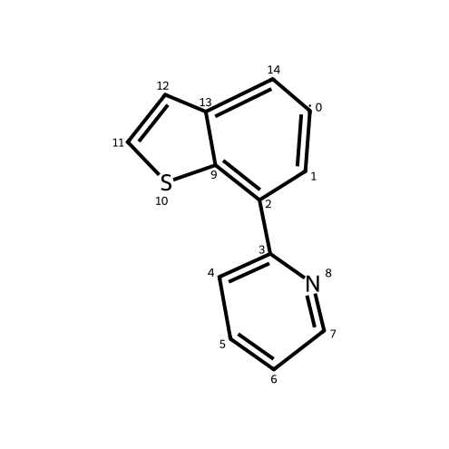 [c]1cc(-c2ccccn2)c2sccc2c1